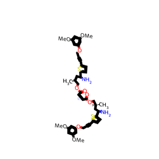 COc1cc(OC)cc(OCC#Cc2ccc(C(N)C[C@@H](C)COC(=O)/C=C\C(=O)OC[C@H](C)CC(N)c3ccc(C#CCOc4cc(OC)cc(OC)c4)s3)s2)c1